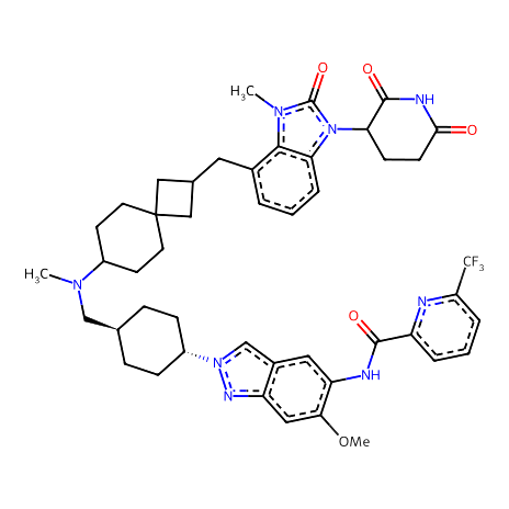 COc1cc2nn([C@H]3CC[C@H](CN(C)C4CCC5(CC4)CC(Cc4cccc6c4n(C)c(=O)n6C4CCC(=O)NC4=O)C5)CC3)cc2cc1NC(=O)c1cccc(C(F)(F)F)n1